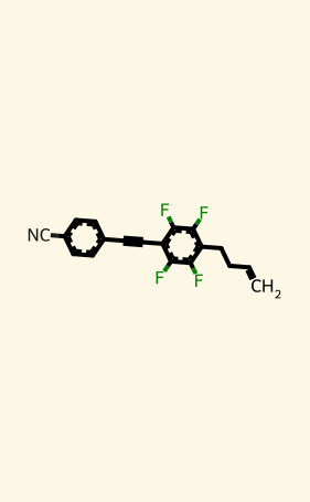 C=CCCc1c(F)c(F)c(C#Cc2ccc(C#N)cc2)c(F)c1F